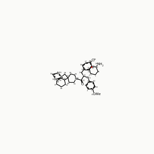 COc1ccc(N([C@H]2CC[C@H](N)CC2)[C@H](Cc2ccc(Cl)cc2)C(=O)N2CCC(Cn3cncn3)(C3CCCCC3)CC2)cc1